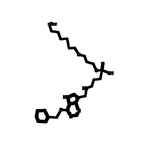 CCCCCCCCCCCCCCCCOCCCOP(=O)(O)CCCNCc1c[nH]c2c(OCc3ccccc3)ncnc12